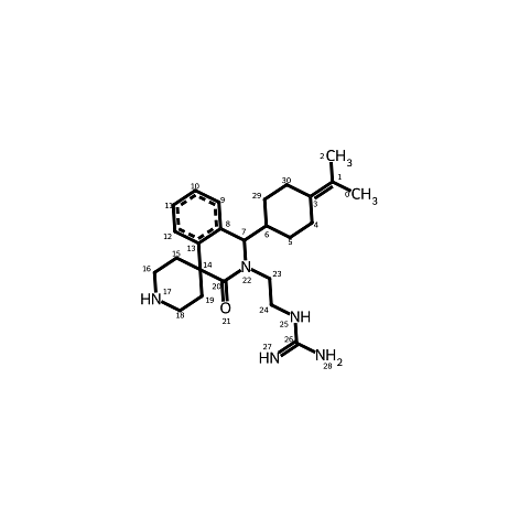 CC(C)=C1CCC(C2c3ccccc3C3(CCNCC3)C(=O)N2CCNC(=N)N)CC1